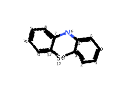 c1ccc2c(c1)[N]c1ccccc1[Se]2